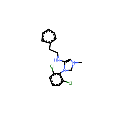 CN1C=C(NCCc2ccccc2)N(c2c(Cl)cccc2Cl)C1